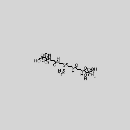 CC(C)(CO)C(O)C(=O)NCCC(=O)NCCSSCCNC(=O)CCNC(=O)C(O)C(C)(C)CO.S.S